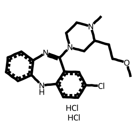 COCCC1CN(C2=Nc3ccccc3Nc3ccc(Cl)cc32)CCN1C.Cl.Cl